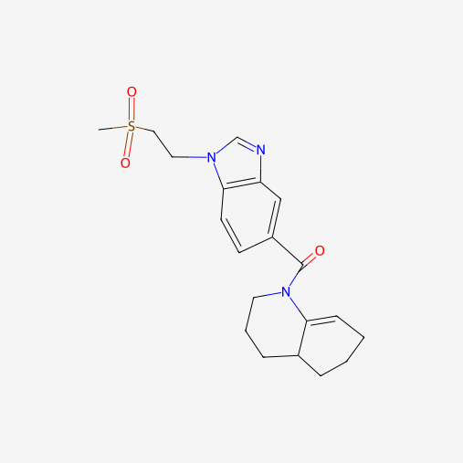 CS(=O)(=O)CCn1cnc2cc(C(=O)N3CCCC4CCCC=C43)ccc21